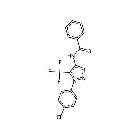 O=C(Nc1cnn(-c2ccc(Cl)cc2)c1C(F)(F)F)c1ccccc1